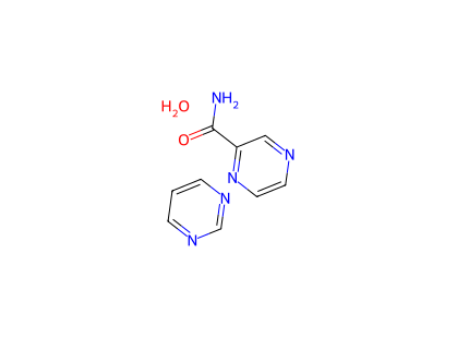 NC(=O)c1cnccn1.O.c1cncnc1